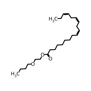 CC/C=C\C/C=C\C/C=C\CCCCCCCC(=O)OCCOCCCC